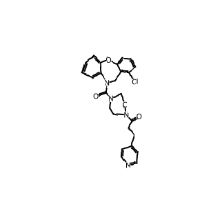 O=C(CCc1ccncc1)N1CCN(C(=O)N2Cc3c(Cl)cccc3Oc3ccccc32)CC1